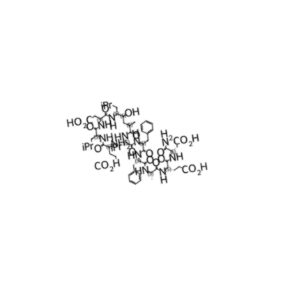 CC(C)C[C@H](NC(=O)[C@@H](N)CCC(=O)O)C(=O)N[C@@H](CC(=O)O)C(=O)N[C@@H](CC(C)C)[C@@H](O)C[C@@H](C)C(=O)N[C@H](C(=O)N[C@@H](Cc1ccccc1)C(=O)N[C@@H](Cc1ccccc1)C(=O)N[C@@H](C)C(=O)N[C@@H](CCC(=O)O)C(=O)N[C@@H](CC(=O)O)C(N)=O)C(C)C